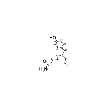 CCCC(CCCCC(N)=O)Cc1ccc(O)cc1